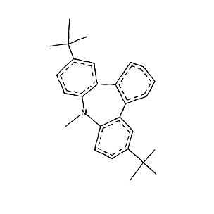 CN1c2ccc(C(C)(C)C)cc2-c2ccccc2-c2cc(C(C)(C)C)ccc21